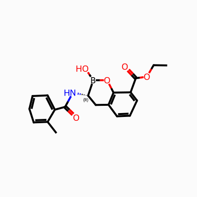 CCOC(=O)c1cccc2c1OB(O)[C@@H](NC(=O)c1ccccc1C)C2